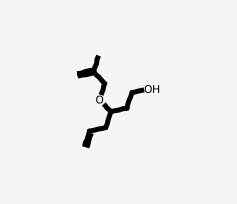 C=CCC(CCO)OCC(=C)C